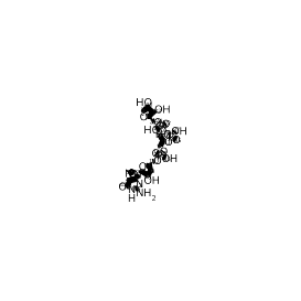 Nc1nc2c(ncn2[C@@H]2O[C@H](COP(=O)(O)OCC(COP(=O)(O)OC[C@H]3OC[C@H](O)[C@@H]3O)OP(=O)(O)O)CC2O)c(=O)[nH]1